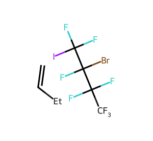 C=CCC.FC(F)(F)C(F)(F)C(F)(Br)C(F)(F)I